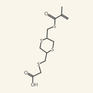 C=C(C)C(=O)SCC1CSC(CSCC(=O)O)CS1